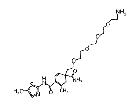 CC1=C(C(=O)Nc2ncc(C)s2)C=CC(CCOCCOCCOCCOCCN)(C(N)=O)C1